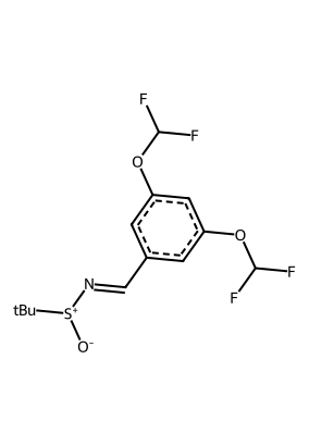 CC(C)(C)[S+]([O-])/N=C/c1cc(OC(F)F)cc(OC(F)F)c1